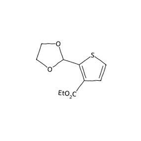 CCOC(=O)c1ccsc1C1OCCO1